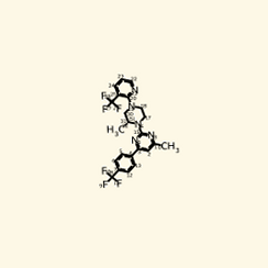 Cc1cc(-c2ccc(C(F)(F)F)cc2)nc(N2CCN(c3ncccc3C(F)(F)F)C[C@@H]2C)n1